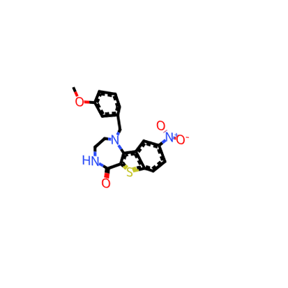 COc1cccc(CN2CCNC(=O)c3sc4ccc([N+](=O)[O-])cc4c32)c1